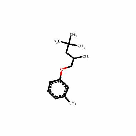 Cc1cccc(OCC(C)CC(C)(C)C)c1